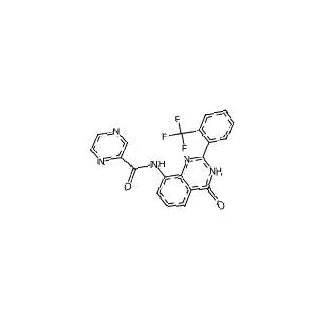 O=C(Nc1cccc2c(=O)[nH]c(-c3ccccc3C(F)(F)F)nc12)c1cnccn1